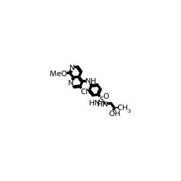 COc1nccc2c(Nc3ccc(S(=N)(=O)NC[C@@H](C)O)cc3)c(C#N)cnc12